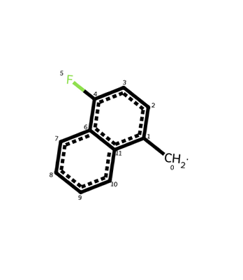 [CH2]c1ccc(F)c2ccccc12